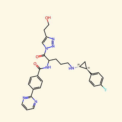 O=C(NC(CCCN[C@@H]1C[C@H]1c1ccc(F)cc1)C(=O)n1cc(CCO)nn1)c1ccc(-c2ncccn2)cc1